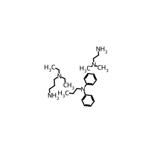 CCCN(c1ccccc1)c1ccccc1.CCN(CC)CCCN.CN(C)CCN